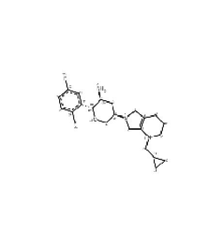 N[C@H]1C[C@@H](N2CC3=C(C2)N(CC2CC2)CCC3)CO[C@@H]1c1cc(F)ccc1F